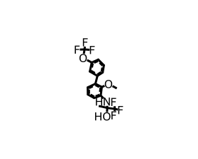 COc1c(NC(C)(O)C(F)(F)F)cccc1-c1cccc(OC(F)(F)F)c1